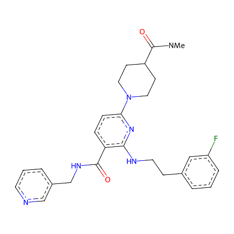 CNC(=O)C1CCN(c2ccc(C(=O)NCc3cccnc3)c(NCCc3cccc(F)c3)n2)CC1